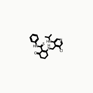 CC(C)Nc1cncc(Cl)c1CNC1=C(C(=S)Nc2ccccc2)C(=O)CCC1